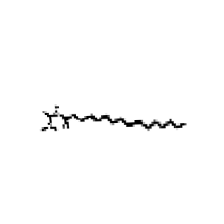 CCCCCCCCCCCCCCCC(=O)NC(C)N(C)C